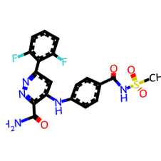 CS(=O)(=O)NC(=O)c1ccc(Nc2cc(-c3c(F)cccc3F)nnc2C(N)=O)cc1